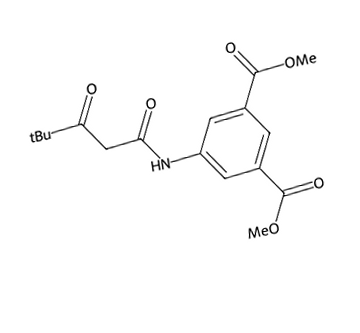 COC(=O)c1cc(NC(=O)CC(=O)C(C)(C)C)cc(C(=O)OC)c1